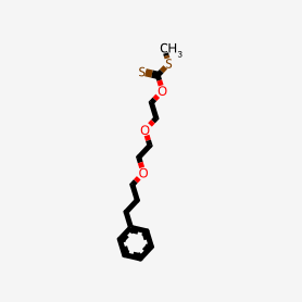 CSC(=S)OCCOCCOCCCc1ccccc1